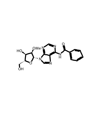 CO[C@@H]1[C@H](O)[C@@H](CO)O[C@H]1n1cnc2c(NC(=O)c3ccccc3)ncnc21